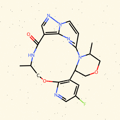 CC1COc2ncc(F)cc2C2COCC(C)N2c2ccn3ncc(c3n2)C(=O)N1